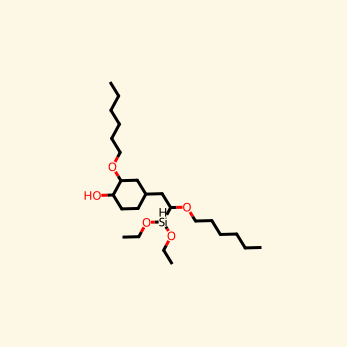 CCCCCCOC1CC(CC(OCCCCCC)[SiH](OCC)OCC)CCC1O